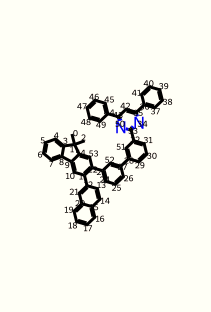 CC1(C)c2ccccc2-c2cc(-c3ccc4ccccc4c3)c(-c3cccc(-c4cccc(-c5nc(-c6ccccc6)cc(-c6ccccc6)n5)c4)c3)cc21